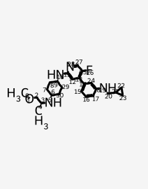 COC[C@@H](C)N[C@H]1CC[C@H](Nc2cc(-c3cccc(NCC4CC4)c3)c(F)cn2)CC1